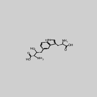 NC(Cc1c[nH]c2ccc(CC(O)C(N)C(=O)O)cc12)C(=O)O